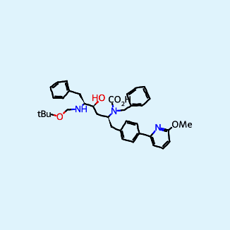 COc1cccc(-c2ccc(C[C@@H](C[C@H](O)[C@H](Cc3ccccc3)NCOC(C)(C)C)N(Cc3ccccc3)C(=O)O)cc2)n1